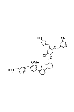 COc1nc(-c2cccc(-c3cccc(COc4cc(OCc5cncc(C#N)c5)c(CN5CCC(O)C5)cc4Cl)c3C)c2C)ccc1CNCC(O)CC(=O)O